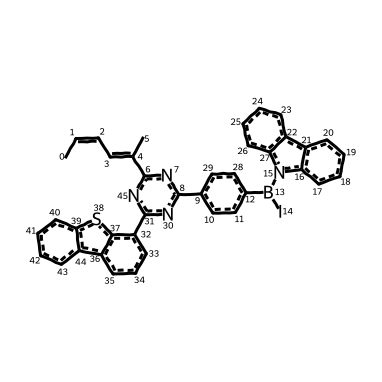 C/C=C\C=C(/C)c1nc(-c2ccc(B(I)n3c4ccccc4c4ccccc43)cc2)nc(-c2cccc3c2sc2ccccc23)n1